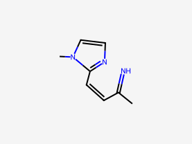 CC(=N)/C=C\c1nccn1C